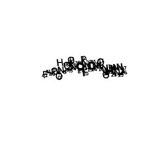 O=C(NC[C@H]1CN(c2cc(F)c(N3CCN(C(=O)CNC(=O)c4cn5cccnc5n4)CC3)c(F)c2)C(=O)O1)OCCF